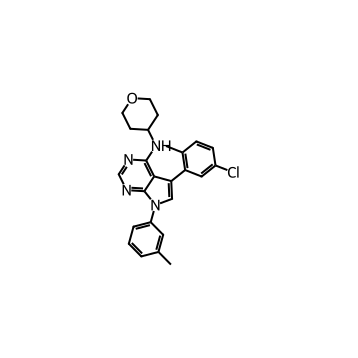 Cc1cccc(-n2cc(-c3cc(Cl)ccc3C)c3c(NC4CCOCC4)ncnc32)c1